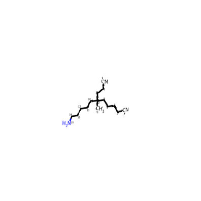 CC(CCC#N)(CCCCC#N)CCCCCN